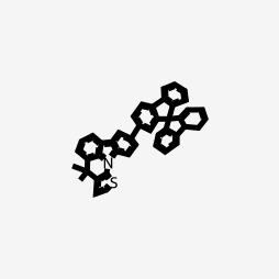 CC1(C)c2ccsc2-n2c3ccc(-c4ccc5c(c4)C4(C6=CC=CCC6c6ccccc64)c4ccccc4-5)cc3c3cccc1c32